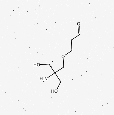 NC(CO)(CO)COCCC=O